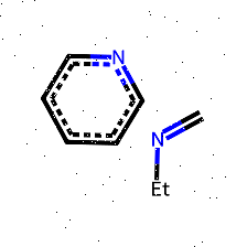 C=NCC.c1ccncc1